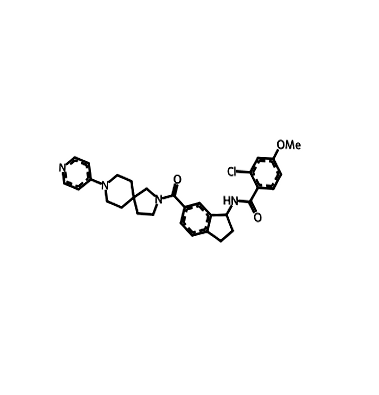 COc1ccc(C(=O)NC2CCc3ccc(C(=O)N4CCC5(CCN(c6ccncc6)CC5)C4)cc32)c(Cl)c1